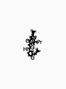 CC(C)c1nn(CC(=O)NC2CCC(=O)N(CC3CC3)C2)c(=O)c2cc(C3CC3)nn12